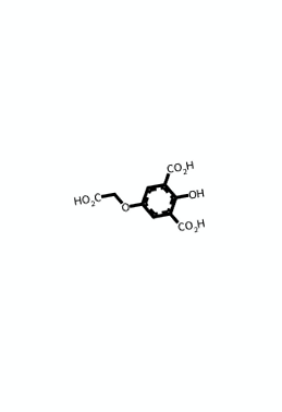 O=C(O)COc1cc(C(=O)O)c(O)c(C(=O)O)c1